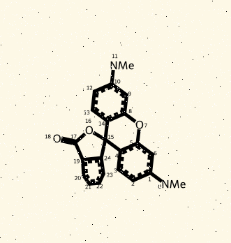 CNc1ccc2c(c1)Oc1cc(NC)ccc1C21OC(=O)c2ccccc21